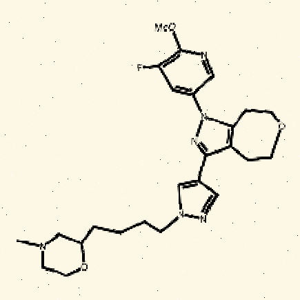 COc1ncc(-n2nc(-c3cnn(CCCCC4CN(C)CCO4)c3)c3c2CCOCC3)cc1F